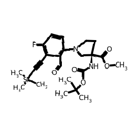 COC(=O)[C@@]1(NC(=O)OC(C)(C)C)CCN(c2ccc(F)c(C#C[Si](C)(C)C)c2C=O)C1